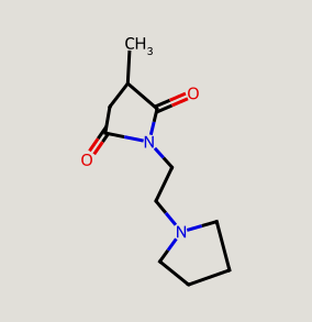 CC1CC(=O)N(CCN2CCCC2)C1=O